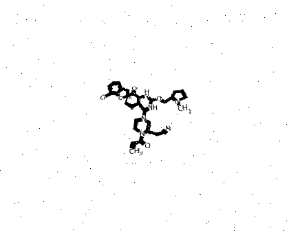 C=CC(=O)N1CCN(C2NC(OCC3CCCN3C)NC3C(=O)[C@@]4(CCC32)Cc2cccc(Cl)c2O4)CC1CC#N